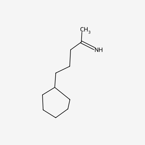 CC(=N)CCCC1CCCCC1